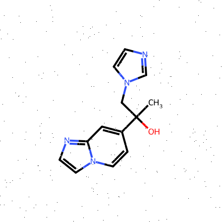 CC(O)(Cn1ccnc1)c1ccn2ccnc2c1